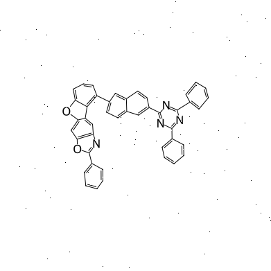 c1ccc(-c2nc(-c3ccccc3)nc(-c3ccc4cc(-c5cccc6oc7cc8oc(-c9ccccc9)nc8cc7c56)ccc4c3)n2)cc1